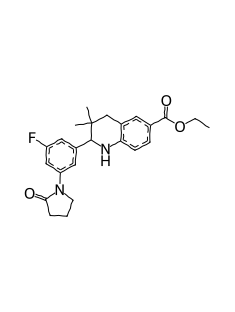 CCOC(=O)c1ccc2c(c1)CC(C)(C)C(c1cc(F)cc(N3CCCC3=O)c1)N2